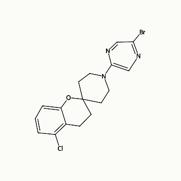 Clc1cccc2c1CCC1(CCN(c3cnc(Br)cn3)CC1)O2